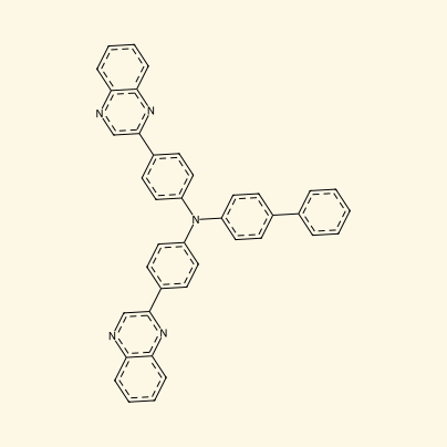 c1ccc(-c2ccc(N(c3ccc(-c4cnc5ccccc5n4)cc3)c3ccc(-c4cnc5ccccc5n4)cc3)cc2)cc1